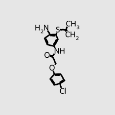 C=C(C)Sc1cc(NC(=O)COc2ccc(Cl)cc2)ccc1N